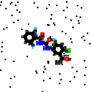 CCC(=O)c1cc(NC(=O)NC(=O)c2c(F)cccc2F)c(F)cc1Cl